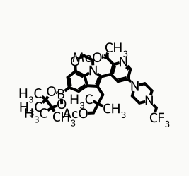 CO[C@@H](C)c1ncc(N2CCN(CC(F)(F)F)CC2)cc1-c1c(CC(C)(C)COC(C)=O)c2cc(B3OC(C)(C)C(C)(C)O3)cc3c2n1CCO3